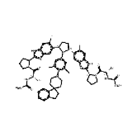 COC(=O)N[C@H](C(=O)N1CCCC1c1nc2cc([C@H]3CC[C@H](c4cc5nc([C@@H]6CCCN6C(=O)[C@@H](NC(=O)OC)C(C)C)[nH]c5cc4F)N3c3cc(F)c(N4CCC5(CCc6ccccc65)CC4)c(F)c3)c(F)cc2[nH]1)C(C)C